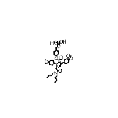 CCCCN(CCCC)C(=O)CN1CC(c2ccc3c(c2)OCO3)[C@@H](C(=O)Oc2ccc(CON(O)O)cc2)C1c1ccc(OC)cc1